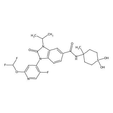 CC(C)n1c(=O)n(-c2cc(OC(F)F)ncc2F)c2ccc(C(=O)NC3(C)CCS(O)(O)CC3)cc21